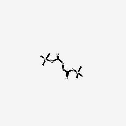 C[Si](C)(C)OC(=O)/N=N/C(=O)O[Si](C)(C)C